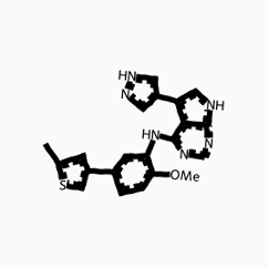 COc1ccc(-c2csc(C)c2)cc1Nc1ncnc2[nH]cc(-c3cn[nH]c3)c12